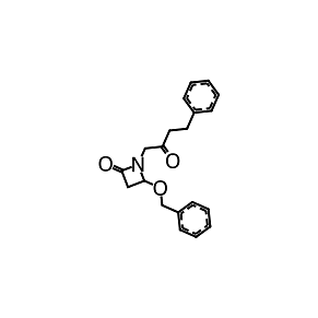 O=C(CCc1ccccc1)CN1C(=O)CC1OCc1ccccc1